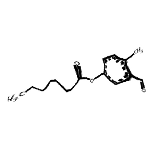 CCCCCC(=O)Oc1ccc(C)c(C=O)c1